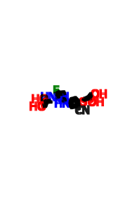 N#Cc1cc(Nc2ncc(F)c(NCC(O)CO)n2)ccc1OCC(O)CO